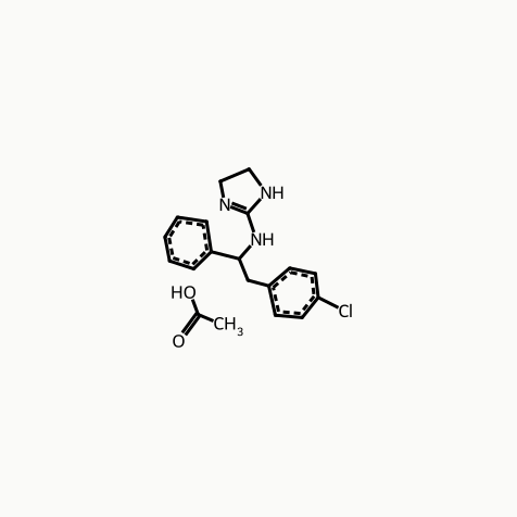 CC(=O)O.Clc1ccc(CC(NC2=NCCN2)c2ccccc2)cc1